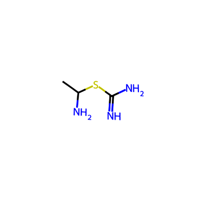 CC(N)SC(=N)N